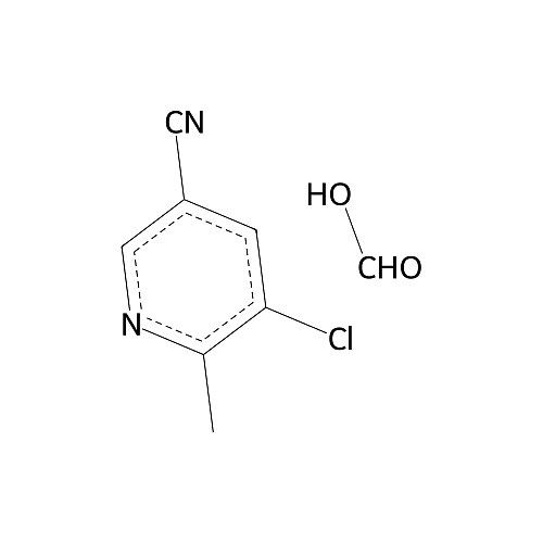 Cc1ncc(C#N)cc1Cl.O=CO